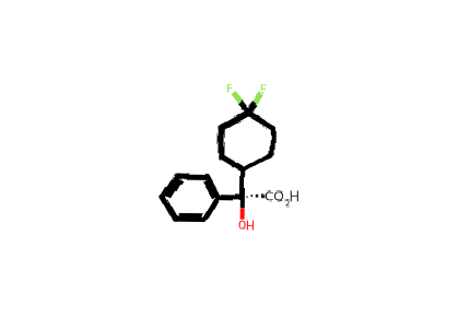 O=C(O)[C@](O)(c1ccccc1)C1CCC(F)(F)CC1